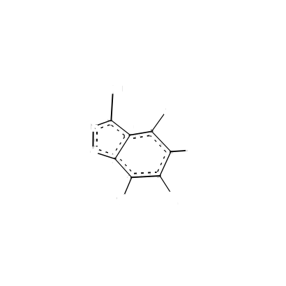 Oc1noc2c(Cl)c(Cl)c(Cl)c(Cl)c12